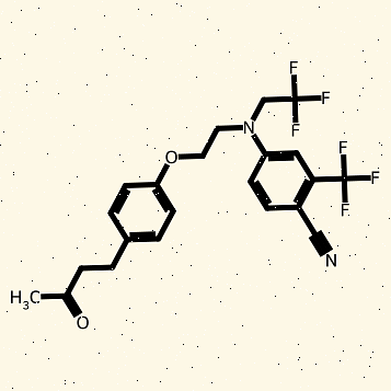 CC(=O)CCc1ccc(OCCN(CC(F)(F)F)c2ccc(C#N)c(C(F)(F)F)c2)cc1